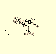 COc1cc2c(cc1OCCCBr)N(COCC[Si](C)(C)C)C(=O)[C@@H]1C[C@@H](O[Si](C)(C)C(C)(C)C)CN1C2=O